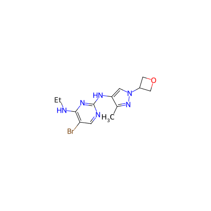 CCNc1nc(Nc2cn(C3COC3)nc2C)ncc1Br